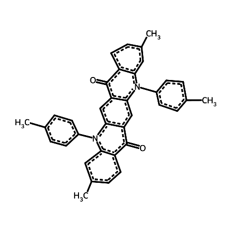 Cc1ccc(-n2c3cc(C)ccc3c(=O)c3cc4c(cc32)c(=O)c2ccc(C)cc2n4-c2ccc(C)cc2)cc1